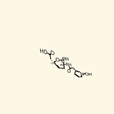 O=C(O)C[C@H]1C=CC[C@H](NC(=O)Cc2ccc[n+](O)c2)B(O)O1